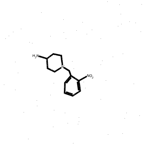 NC1CCN(Cc2ccccc2[N+](=O)[O-])CC1